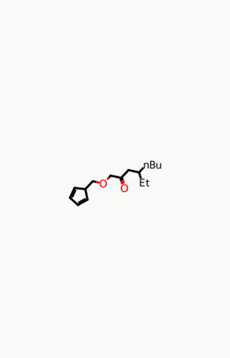 CCCCC(CC)CC(=O)COCC1C=CC=C1